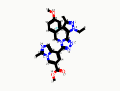 CCn1nc(C)c(F)c1-c1nnc(-c2cc(C(=O)OC)cn3c(C)ncc23)n1Cc1ccc(OC)cc1